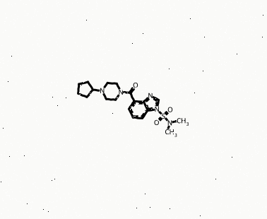 CN(C)S(=O)(=O)n1cnc2c(C(=O)N3CCN(C4CCCC4)CC3)cccc21